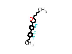 CCCCCC1CCC(c2ccc(-c3ccc(CCC)c(F)c3F)cc2F)CO1